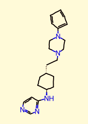 c1ccc(N2CCN(CC[C@H]3CC[C@H](Nc4ccncn4)CC3)CC2)cc1